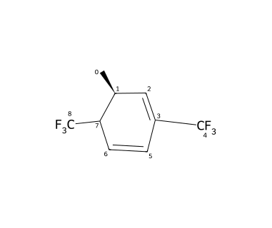 C[C@H]1C=C(C(F)(F)F)C=CC1C(F)(F)F